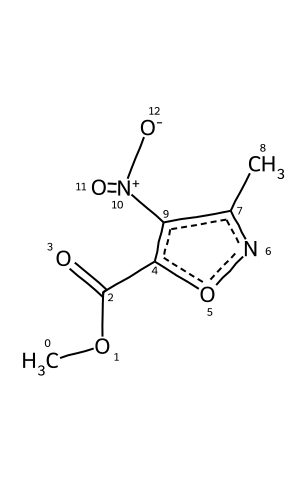 COC(=O)c1onc(C)c1[N+](=O)[O-]